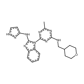 Cc1nc(NCC2CCOCC2)nc(-n2c(Nc3cc[nH]n3)nc3ccccc32)n1